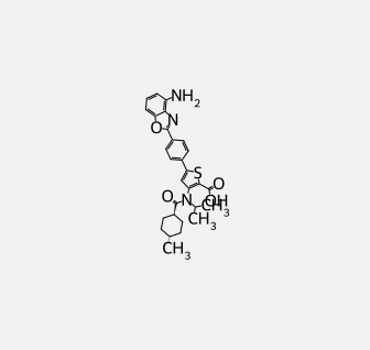 CC(C)N(c1cc(-c2ccc(-c3nc4c(N)cccc4o3)cc2)sc1C(=O)O)C(=O)[C@H]1CC[C@H](C)CC1